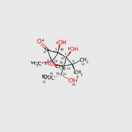 CC1(C)C(=O)[C@]1(O)[C@]1(O)C(C)(C)[C@]1(O)[C@H](O)C(=O)[O-].[K+]